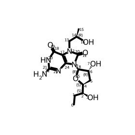 CC[C@H](O)[C@@H]1C[C@@H](O)[C@H](n2c(=O)n(C[C@@H](C)O)c3c(=O)[nH]c(N)nc32)O1